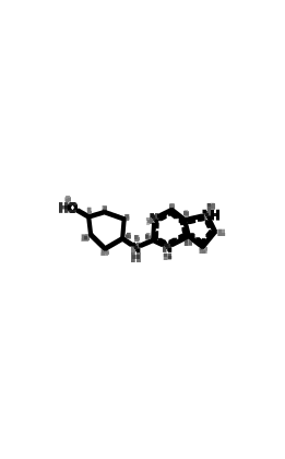 OC1CCC(Nc2ncc3[nH]ccc3n2)CC1